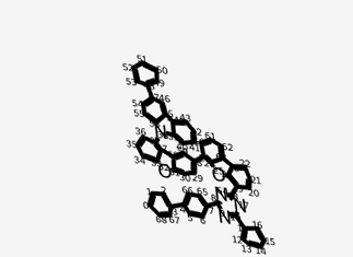 c1ccc(-c2ccc(-c3nc(-c4ccccc4)nc(-c4cccc5c4oc4c(-c6ccc7oc8cccc(-n9c%10ccccc%10c%10cc(-c%11ccccc%11)ccc%109)c8c7c6)cccc45)n3)cc2)cc1